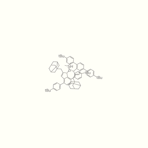 C[SiH](C)[Zr]([CH]1C(CC23CC4CC(CC(C4)C2)C3)=Cc2c(-c3ccc(C(C)(C)C)cc3)ccc(-c3ccc(C(C)(C)C)cc3)c21)[CH]1C(CC23CC4CC(CC(C4)C2)C3)=Cc2c(-c3ccc(C(C)(C)C)cc3)ccc(-c3ccc(C(C)(C)C)cc3)c21